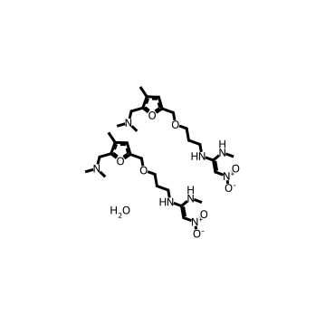 CNC(=C[N+](=O)[O-])NCCCOCc1cc(C)c(CN(C)C)o1.CNC(=C[N+](=O)[O-])NCCCOCc1cc(C)c(CN(C)C)o1.O